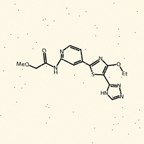 CCOc1nc(-c2ccnc(NC(=O)COC)c2)sc1-c1nnc[nH]1